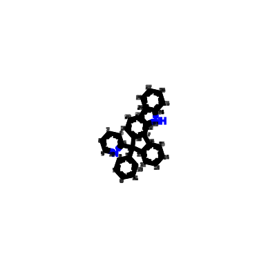 c1ccc(C2(c3ccccn3)c3ccccc3-c3c2ccc2c3[nH]c3ccccc32)cc1